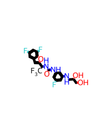 O=C(Nc1cc(F)cc(NCC(O)CO)c1)N[C@H](c1cc2cc(F)cc(F)c2o1)C(F)(F)F